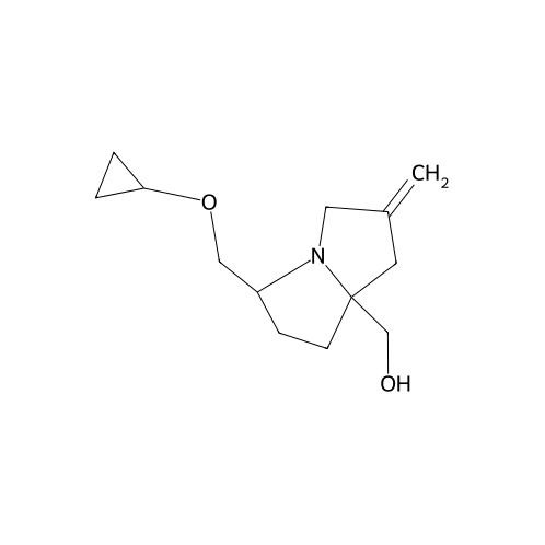 C=C1CN2C(COC3CC3)CCC2(CO)C1